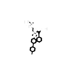 Cc1ccc(-c2ccc(S(=O)(=O)N(CCN[S+](N)[O-])C3(C(=O)O)CC3c3ccccc3)cc2)cc1